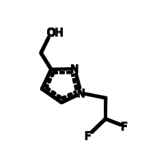 OCc1ccn(CC(F)F)n1